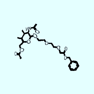 CC(=O)NC1C(OCCOCCOCC(=O)OCc2ccccc2)OC(COC(C)=O)C(C)C1C